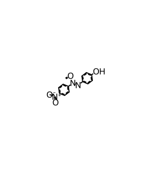 C=O.O=[N+]([O-])c1ccc(N=Nc2ccc(O)cc2)cc1